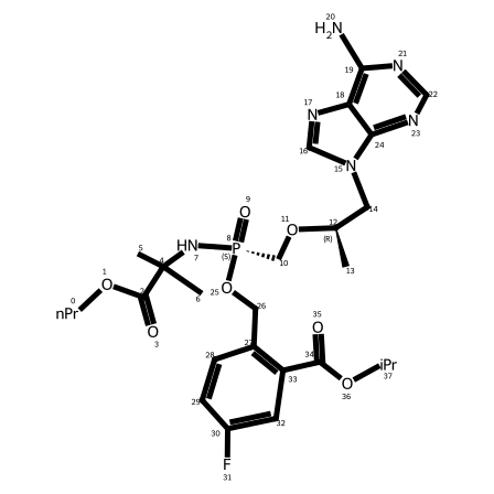 CCCOC(=O)C(C)(C)N[P@](=O)(CO[C@H](C)Cn1cnc2c(N)ncnc21)OCc1ccc(F)cc1C(=O)OC(C)C